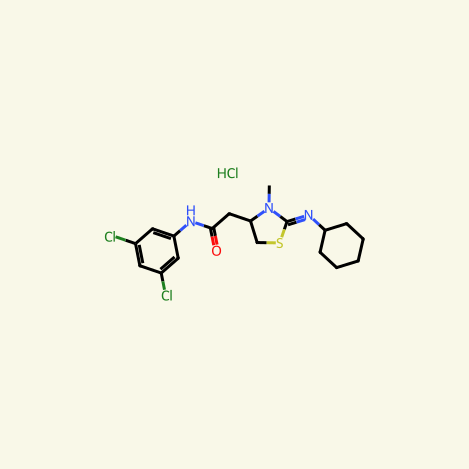 CN1/C(=N/C2CCCCC2)SCC1CC(=O)Nc1cc(Cl)cc(Cl)c1.Cl